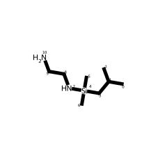 CC(C)C[Si](C)(C)NCCN